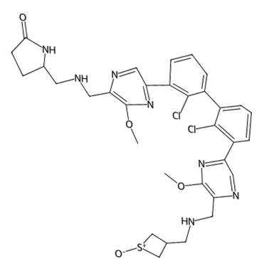 COc1nc(-c2cccc(-c3cccc(-c4cnc(CNCC5CCC(=O)N5)c(OC)n4)c3Cl)c2Cl)cnc1CNCC1C[S+]([O-])C1